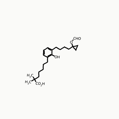 CC(C)(CCCCCc1cccc(CCCCC2(OC=O)CC2)c1O)C(=O)O